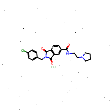 Cl.O=C(NCCN1CCCC1)c1ccc2c(c1)C(=O)N(Cc1ccc(Cl)cc1)C2=O